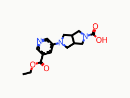 CCOC(=O)c1cncc(N2CC3CN(C(=O)O)CC3C2)c1